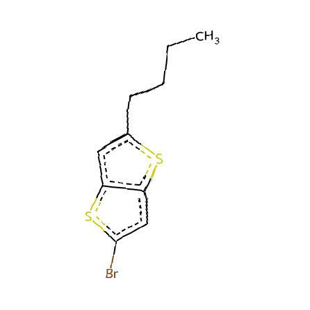 CCCCc1cc2sc(Br)cc2s1